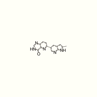 Cc1cc2cc(-c3ccc4nc[nH]c(=O)c4n3)cnc2[nH]1